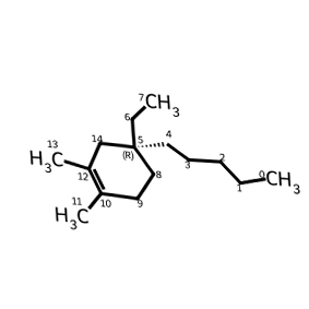 CCCCC[C@]1(CC)CCC(C)=C(C)C1